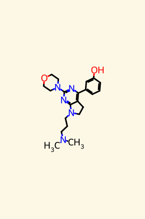 CN(C)CCCN1CCc2c(-c3cccc(O)c3)nc(N3CCOCC3)nc21